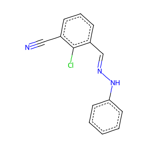 N#Cc1cccc(C=NNc2ccccc2)c1Cl